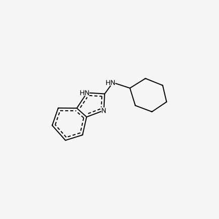 c1ccc2[nH]c(NC3CCCCC3)nc2c1